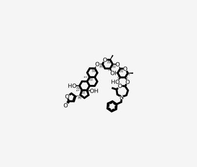 CC1CN(Cc2ccccc2)CCC(O[C@@H]2[C@H](C)O[C@@H](O[C@@H]3[C@H](C)O[C@@H](O[C@H]4CC[C@@]5(C)C(CCC6C5C[C@H](O)[C@]5(C)[C@@H](C7=CC(=O)OC7)CC[C@]65O)C4)C[C@@H]3O)C[C@@H]2O)O1